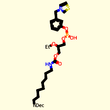 CCCCCCCCCCCCCCCCCCNC(=O)OCC(COP(O)Oc1cccc(CN2C=CSC2)c1)OCC